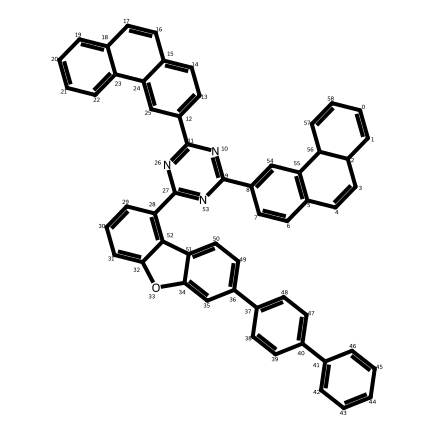 C1=CC2C=Cc3ccc(-c4nc(-c5ccc6ccc7ccccc7c6c5)nc(-c5cccc6oc7cc(-c8ccc(-c9ccccc9)cc8)ccc7c56)n4)cc3C2C=C1